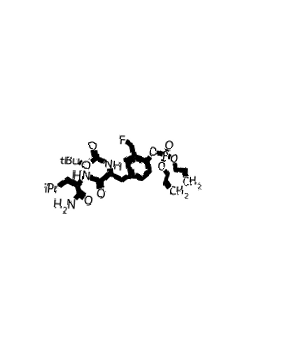 C=CCOP(=O)(OCC=C)Oc1ccc(CC(NC(=O)OC(C)(C)C)C(=O)NC(CC(C)C)C(N)=O)cc1CF